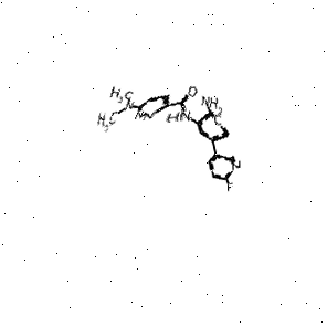 CN(C)c1ccc(C(=O)Nc2cc(-c3ccc(F)nc3)ccc2N)nn1